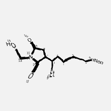 CCCCCCCCCCCCCC(CC)C1CC(=O)N(CO)C1=O